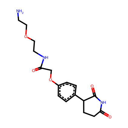 NCCOCCNC(=O)COc1ccc(C2CCC(=O)NC2=O)cc1